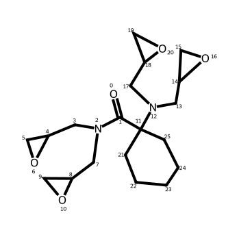 O=C(N(CC1CO1)CC1CO1)C1(N(CC2CO2)CC2CO2)CCCCC1